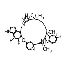 Cn1nc2nc1-c1cc(ccn1)Oc1c(F)c(F)c3[nH]ccc3c1Cn1cc(nn1)C(C)(C)CCCCC2(C)c1cccc(I)c1